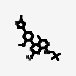 COc1cc(-c2cnn(C)c2)ccc1-c1nc(N)nc2c(NCC(C)(C)C)ncc(C)c12